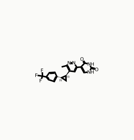 Cc1nnc(-c2c[nH]c(=O)[nH]c2=O)cc1[C@H]1C[C@@H]1c1ccc(C(F)(F)F)cc1